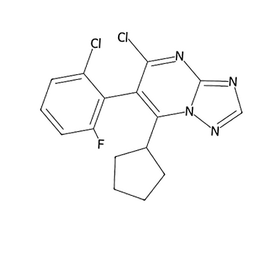 Fc1cccc(Cl)c1-c1c(Cl)nc2ncnn2c1C1CCCC1